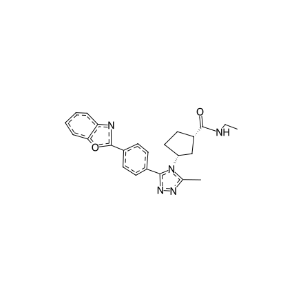 CCNC(=O)[C@H]1CC[C@@H](n2c(C)nnc2-c2ccc(-c3nc4ccccc4o3)cc2)C1